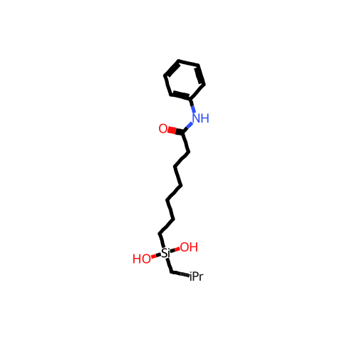 CC(C)C[Si](O)(O)CCCCCCC(=O)Nc1ccccc1